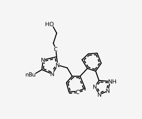 CCCCc1nc(CCCO)n(Cc2ccccc2-c2ccccc2-c2nnn[nH]2)n1